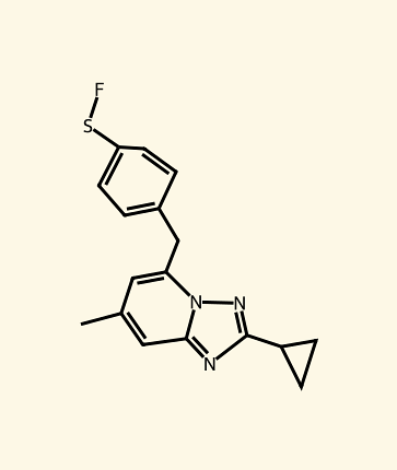 Cc1cc(Cc2ccc(SF)cc2)n2nc(C3CC3)nc2c1